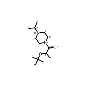 CC(OC(C)(C)C)C(=O)N1CCN(C(C)C)CC1